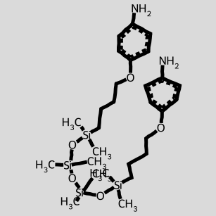 C[Si](C)(CCCCOc1ccc(N)cc1)O[Si](C)(C)O[Si](C)(C)O[Si](C)(C)CCCCOc1ccc(N)cc1